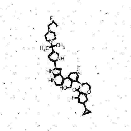 CC(C)(C1=CC=C(c2cc3c([nH]2)NCC=C3C2=C(CO)C(N3CCOC4=C(C3=O)C(F)=CC(C3CC3)C4)=C[C@@H](F)C2)NC1)N1CCN(CC(F)F)CC1